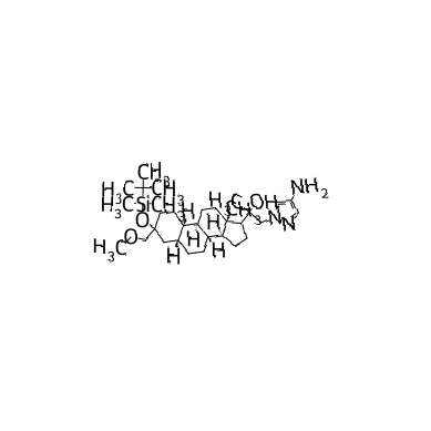 COCC1(O[Si](C)(C)C(C)(C)C)CC[C@H]2[C@H](CC[C@@H]3[C@@H]2CC[C@]2(C)C(C(C)(O)Cn4cc(N)cn4)CC[C@@H]32)C1